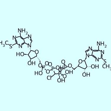 CSc1nc(N)c2ncn([C@@H]3O[C@H](COP(=O)(O)OP(=O)(O)C(Cl)P(=O)(O)OP(=O)(O)OC[C@H]4O[C@@H](n5cnc6c(N)nc(SC)nc65)[C@H](O)[C@@H]4O)[C@@H](O)[C@H]3O)c2n1